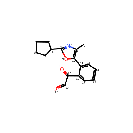 Cc1nc(C2CCCC2)oc1-c1ccccc1C(=O)C=O